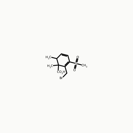 CC1C=CC(S(C)(=O)=O)=C(CBr)C1(C)C(=O)O